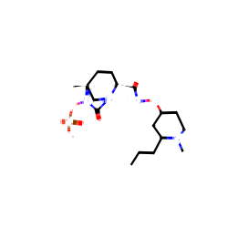 CCCC1CC(ONC(=O)[C@@H]2CC[C@@H]3CN2C(=O)N3OS(=O)(=O)O)CCN1C